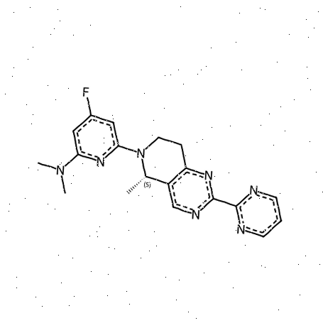 C[C@H]1c2cnc(-c3ncccn3)nc2CCN1c1cc(F)cc(N(C)C)n1